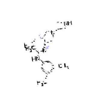 C=C(/N=C1/CN(C2CNC2)C/C1=C/C)Nc1cc(C)cc(C)c1